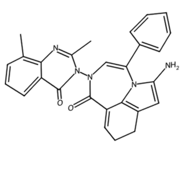 Cc1cccc2c(=O)n(N3C=C(c4ccccc4)n4c(N)cc5c4C(=CCC5)C3=O)c(C)nc12